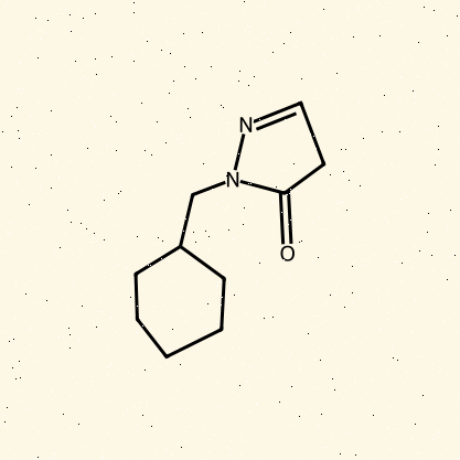 O=C1CC=NN1CC1CCCCC1